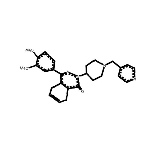 COc1ccc(-c2nn(C3CCN(Cc4ccncc4)CC3)c(=O)c3c2CC=CC3)cc1OC